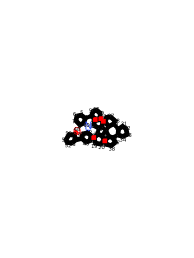 c1ccc(-c2ccccc2N(c2cccc3c2-c2ccccc2C32c3ccccc3-c3ccccc3-c3ccccc32)c2cccc3c2oc2ccccc23)cc1